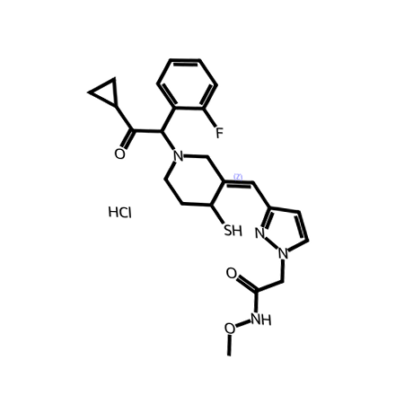 CONC(=O)Cn1ccc(/C=C2/CN(C(C(=O)C3CC3)c3ccccc3F)CCC2S)n1.Cl